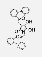 O=c1n(CP2Oc3ccccc3-c3ccccc32)c(O)c(O)n1CP1Oc2ccccc2-c2ccccc21